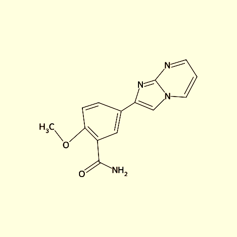 COc1ccc(-c2cn3cccnc3n2)cc1C(N)=O